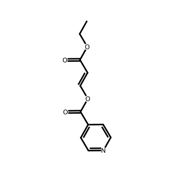 CCOC(=O)C=COC(=O)c1ccncc1